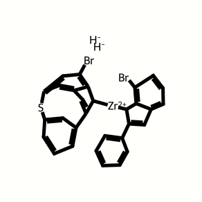 Brc1cccc2c1[CH]([Zr+2][CH]1c3cc4cc(cc(Br)c41)sc1cccc3c1)C(c1ccccc1)=C2.[H-].[H-]